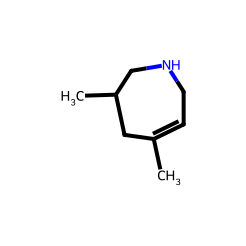 CC1=CCNCC(C)C1